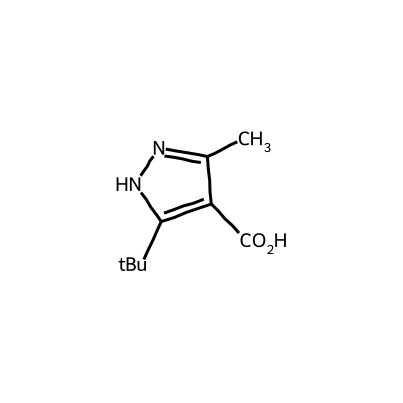 Cc1n[nH]c(C(C)(C)C)c1C(=O)O